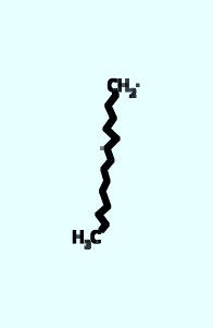 [CH2]CCCCC[CH]CCCCCCCC